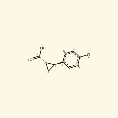 O=C(O)[C@H]1C[C@@H]1c1cnc(Cl)cn1